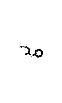 CCCCCCC(C)Oc1ccccc1